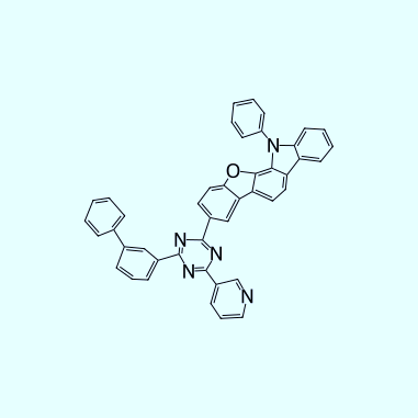 c1ccc(-c2cccc(-c3nc(-c4cccnc4)nc(-c4ccc5oc6c(ccc7c8ccccc8n(-c8ccccc8)c76)c5c4)n3)c2)cc1